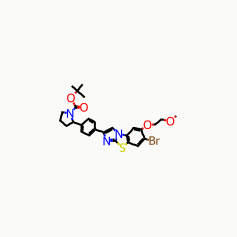 COCCOc1cc2c(cc1Br)sc1nc(-c3ccc(C4CCCN4C(=O)OC(C)(C)C)cc3)cn12